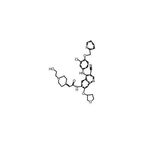 N#Cc1cnc2cc(OC3CCOC3)c(NC(=O)C=C3CCN(CCO)CC3)cc2c1Nc1ccc(OCc2ccccn2)c(Cl)c1